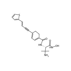 CC(C)(N)[C@H](NC(=O)C1=CC=C(C#C/C=C/c2cccs2)CC1)C(=O)NO